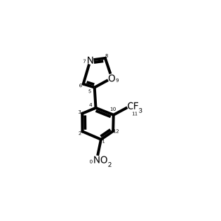 O=[N+]([O-])c1ccc(-c2cnco2)c(C(F)(F)F)c1